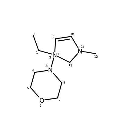 CC[N+]1(N2CCOCC2)C=CN(C)C1